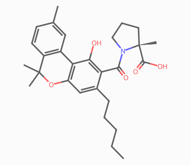 CCCCCc1cc2c(c(O)c1C(=O)N1CCC[C@]1(C)C(=O)O)-c1cc(C)ccc1C(C)(C)O2